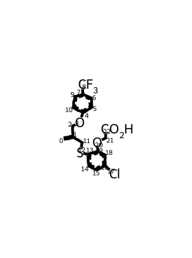 C=C(COc1ccc(C(F)(F)F)cc1)CSc1ccc(Cl)cc1OCC(=O)O